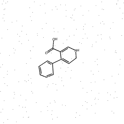 O=C(O)C1=CNCC=C1c1ccccc1